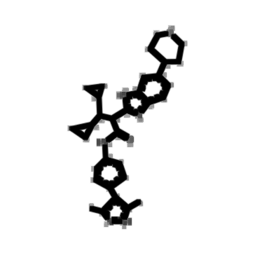 Cc1n[nH]c(C)c1-c1ccc(NC(=O)C(c2nc3ccc(C4CCOCC4)cc3[nH]2)C(C2CC2)C2CC2)cc1